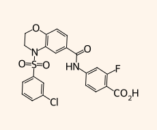 O=C(Nc1ccc(C(=O)O)c(F)c1)c1ccc2c(c1)N(S(=O)(=O)c1cccc(Cl)c1)CCO2